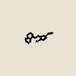 COc1ccc(Br)c(OCC2=CCCc3ncncc32)c1